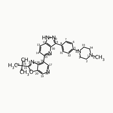 CN1CCN(c2ccc(-c3n[nH]c4ccc(-c5cncc6oc(C(C)(C)C)nc56)nc34)cc2)CC1